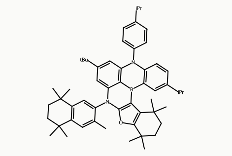 Cc1cc2c(cc1N1c3cc(C(C)(C)C)cc4c3B(c3cc(C(C)C)ccc3N4c3ccc(C(C)C)cc3)c3c1oc1c3C(C)(C)CCC1(C)C)C(C)(C)CCC2(C)C